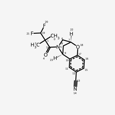 CC(C)(C(=O)N1C[C@@H]2C[C@H]1c1cc(C#N)ccc1O2)C(F)F